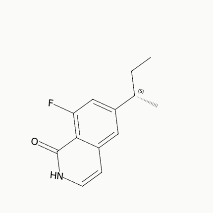 CC[C@H](C)c1cc(F)c2c(=O)[nH]ccc2c1